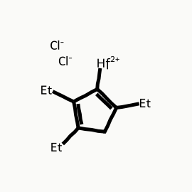 CCC1=[C]([Hf+2])C(CC)=C(CC)C1.[Cl-].[Cl-]